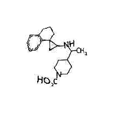 CC(NC1CC12CCCc1ccccc12)C1CCN(C(=O)O)CC1